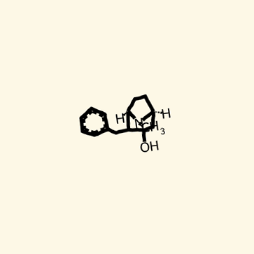 CN1[C@H]2CC[C@@H]1C(Cc1ccccc1)C(O)C2